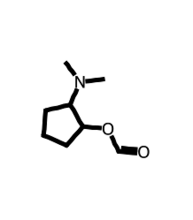 CN(C)C1CCCC1OC=O